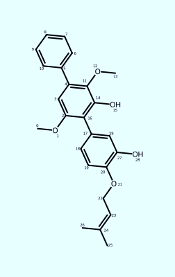 COc1cc(-c2ccccc2)c(OC)c(O)c1-c1ccc(OCC=C(C)C)c(O)c1